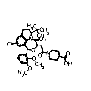 COc1cccc([C@H]2O[C@H](CC(=O)N3CCC(C(=O)O)CC3)C(=O)N3c4c(cc(Cl)cc42)CC[C@H]3C(C)(C)C)c1OC